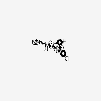 C[C@H](COC(=O)NCCCn1ccnc1)N(c1cc(F)ccc1F)S(=O)(=O)c1ccc(Cl)cc1